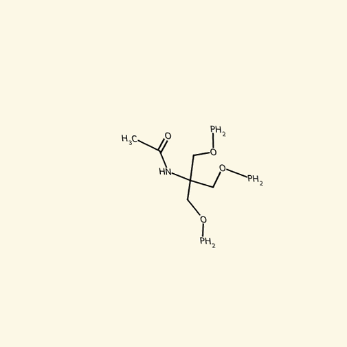 CC(=O)NC(COP)(COP)COP